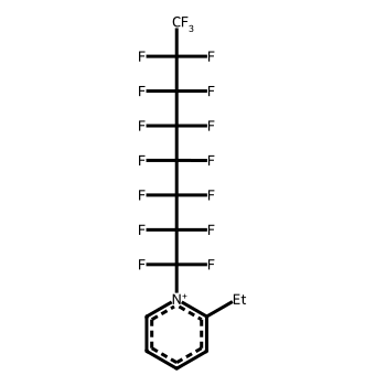 CCc1cccc[n+]1C(F)(F)C(F)(F)C(F)(F)C(F)(F)C(F)(F)C(F)(F)C(F)(F)C(F)(F)F